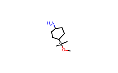 CO[Si](C)(C)C1CCC(N)CC1